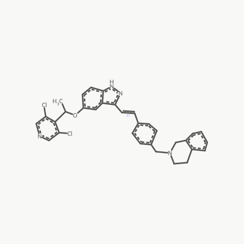 CC(Oc1ccc2[nH]nc(/C=C/c3ccc(CN4CCc5ccccc5C4)cc3)c2c1)c1c(Cl)cncc1Cl